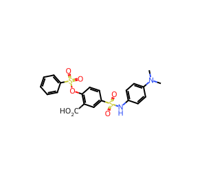 CN(C)c1ccc(NS(=O)(=O)c2ccc(OS(=O)(=O)c3ccccc3)c(C(=O)O)c2)cc1